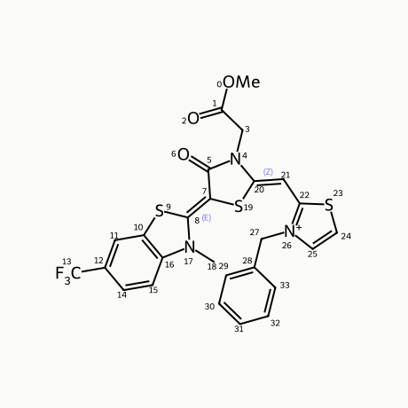 COC(=O)Cn1c(=O)/c(=C2\Sc3cc(C(F)(F)F)ccc3N2C)s/c1=C\c1scc[n+]1Cc1ccccc1